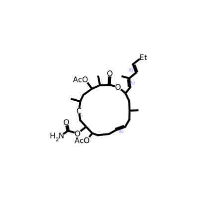 CC/C=C/C(C)=C/C1CC(C)C/C=C/CCC(OC(C)=O)C(OC(N)=O)CCC(C)CC(OC(C)=O)C(C)C(=O)O1